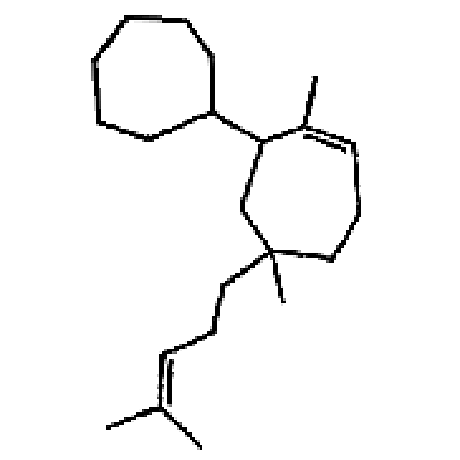 CC(C)=CCCC1(C)CCC=C(C)C(C2CCCCCC2)C1